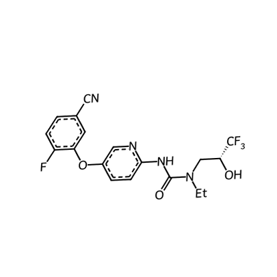 CCN(C[C@@H](O)C(F)(F)F)C(=O)Nc1ccc(Oc2cc(C#N)ccc2F)cn1